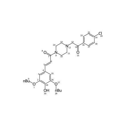 CCCCOc1cc(C=CC(=O)N2CCN(CC(=O)c3ccc(Cl)cc3)CC2)cc(OCCCC)c1O